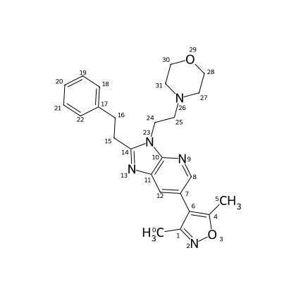 Cc1noc(C)c1-c1cnc2c(c1)nc(CCc1ccccc1)n2CCN1CCOCC1